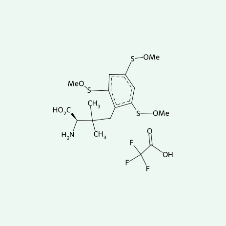 COSc1cc(SOC)c(CC(C)(C)[C@@H](N)C(=O)O)c(SOC)c1.O=C(O)C(F)(F)F